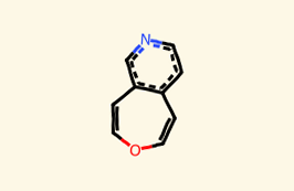 C1=Cc2ccncc2C=CO1